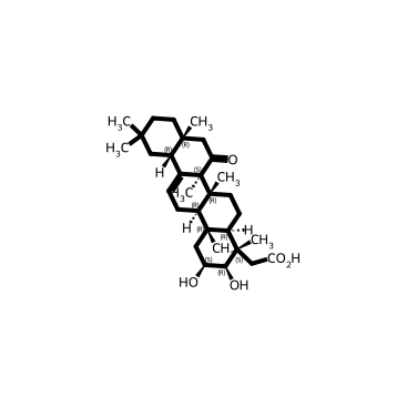 CC1(C)CC[C@]2(C)CC(=O)[C@]3(C)C(=CC[C@@H]4[C@@]5(C)C[C@H](O)[C@H](O)[C@@](C)(CC(=O)O)[C@@H]5CC[C@]43C)[C@@H]2C1